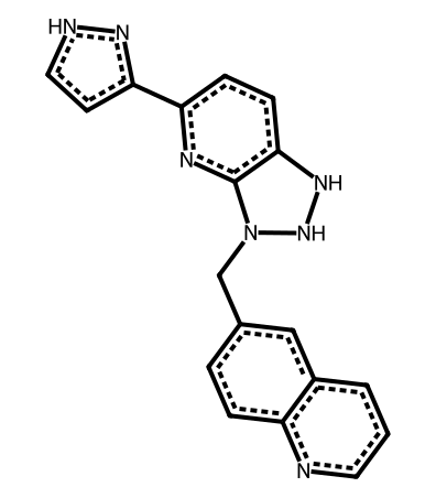 c1cnc2ccc(CN3NNc4ccc(-c5cc[nH]n5)nc43)cc2c1